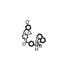 COc1ccc(OC)c(CN2CCN(C(=O)c3ccc(NS(=O)(=O)c4cccc5cccnc45)cc3)CC2)c1